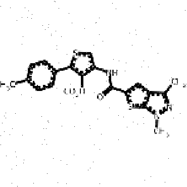 Cc1ccc(-c2scc(NC(=O)c3cc4c(C)nn(C)c4s3)c2C(=O)O)cc1